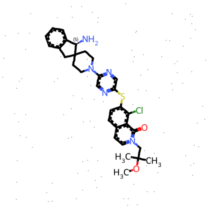 COC(C)(C)Cn1ccc2ccc(Sc3cnc(N4CCC5(CC4)Cc4ccccc4[C@H]5N)cn3)c(Cl)c2c1=O